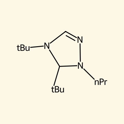 CCCN1N=CN(C(C)(C)C)C1C(C)(C)C